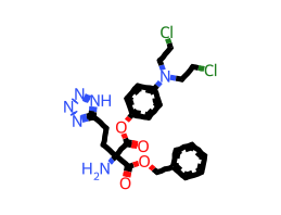 NC(CCc1nnn[nH]1)(C(=O)OCc1ccccc1)C(=O)Oc1ccc(N(CCCl)CCCl)cc1